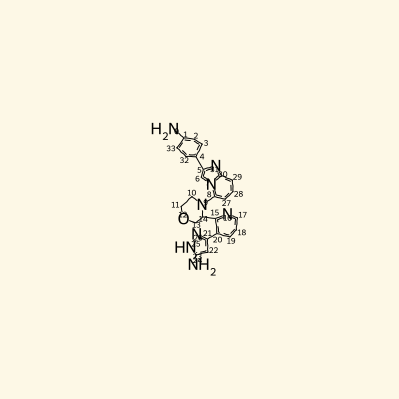 Nc1ccc(-c2cn3c(N4CCOCC4c4ncccc4-c4cc(N)[nH]n4)cccc3n2)cc1